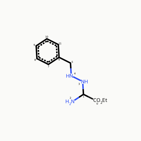 CCOC(=O)C(N)NNCc1ccccc1